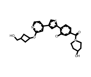 O=C(c1ccc(-c2cc(-c3ccnc(OC4CC(CO)C4)c3)cs2)c(Cl)c1)N1CCC(O)CC1